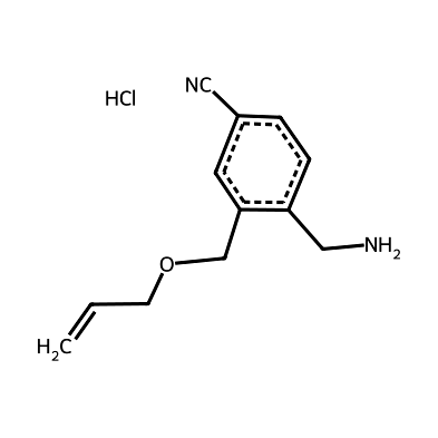 C=CCOCc1cc(C#N)ccc1CN.Cl